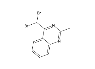 Cc1nc(C(Br)Br)c2ccccc2n1